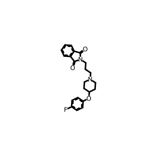 O=C1c2ccccc2C(=O)N1CCCN1CCC(Oc2ccc(F)cc2)CC1